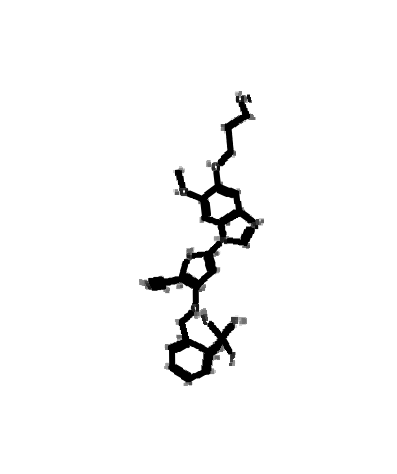 COc1cc2c(cc1OCCCO)ncn2-c1cc(OCc2ccccc2C(F)(F)F)c(C#N)s1